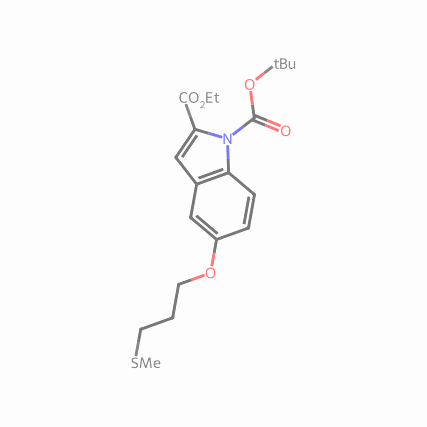 CCOC(=O)c1cc2cc(OCCCSC)ccc2n1C(=O)OC(C)(C)C